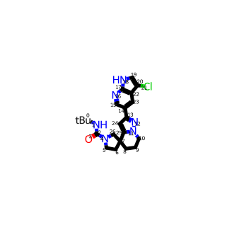 CC(C)(C)NC(=O)N1CCC2(CCCn3nc(-c4cnc5[nH]cc(Cl)c5c4)cc32)C1